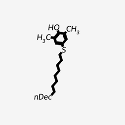 CCCCCCCCCCCCCCCCCCSc1cc(C)c(O)c(C)c1